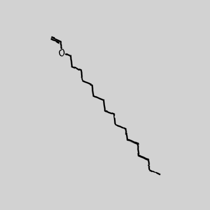 C=COCCCCCCCCCCCCCCCCC